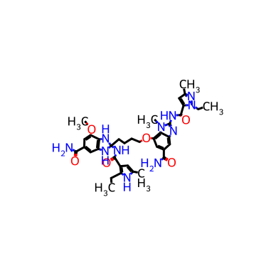 CCc1[nH]c(C)cc1C(=O)NC1(CCCCOc2cc(C(N)=O)cc3nc(NC(=O)c4cc(C)nn4CC)n(C)c23)Nc2cc(C(N)=O)cc(OC)c2N1